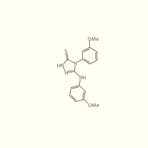 COc1cccc(Nc2n[nH]c(=S)n2-c2cccc(OC)c2)c1